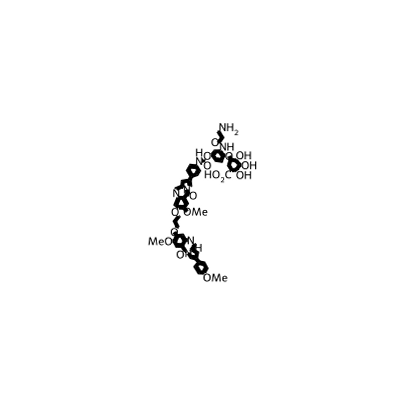 COc1ccc(C2=CN3C(=O)c4cc(OC)c(OCCCOc5cc6c(cc5OC)C(=O)N5C=C(c7ccc(NC(=O)Oc8ccc(OC9CC(C(=O)O)C(O)C(O)C9O)c(NC(=O)CCN)c8)cc7)CC5C=N6)cc4N=C[C@@H]3C2)cc1